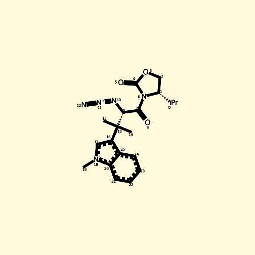 CC(C)[C@H]1COC(=O)N1C(=O)[C@@H](N=[N+]=[N-])C(C)(C)c1cn(C)c2ccccc12